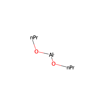 CCC[O][Al][O]CCC